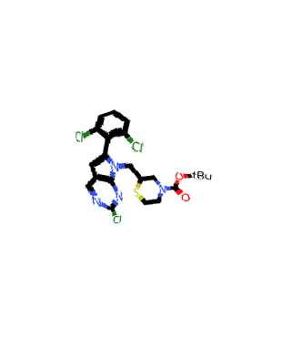 CC(C)(C)OC(=O)N1CCSC(Cn2c(-c3c(Cl)cccc3Cl)cc3cnc(Cl)nc32)C1